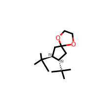 CC(C)(C)[C@H]1CC2(C[C@@H]1C(C)(C)C)OCCO2